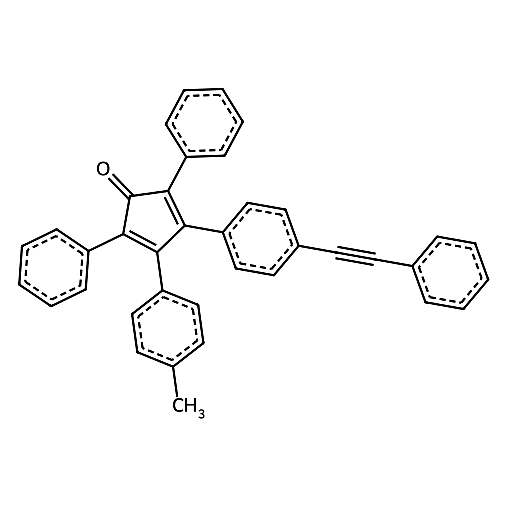 Cc1ccc(C2=C(c3ccccc3)C(=O)C(c3ccccc3)=C2c2ccc(C#Cc3ccccc3)cc2)cc1